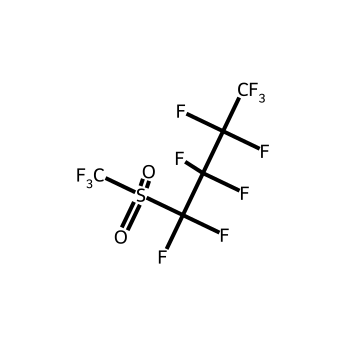 O=S(=O)(C(F)(F)F)C(F)(F)C(F)(F)C(F)(F)C(F)(F)F